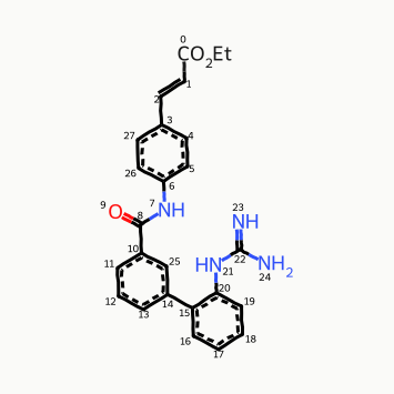 CCOC(=O)C=Cc1ccc(NC(=O)c2cccc(-c3ccccc3NC(=N)N)c2)cc1